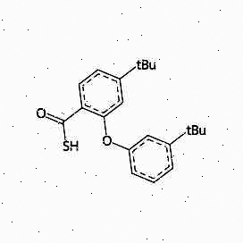 CC(C)(C)c1cccc(Oc2cc(C(C)(C)C)ccc2C(=O)S)c1